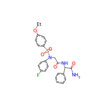 CCOc1ccc(S(=O)(=O)N(CC(=O)NC(C(N)=O)c2ccccc2)c2ccc(F)cc2)cc1